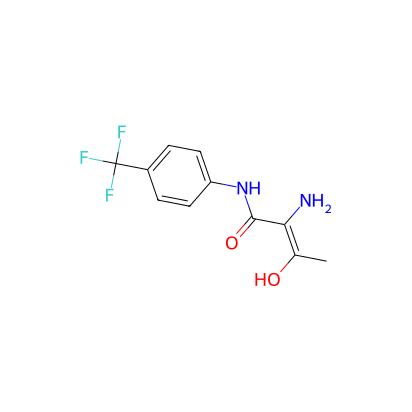 C/C(O)=C(\N)C(=O)Nc1ccc(C(F)(F)F)cc1